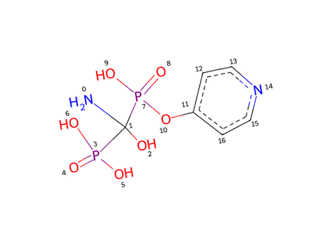 NC(O)(P(=O)(O)O)P(=O)(O)Oc1ccncc1